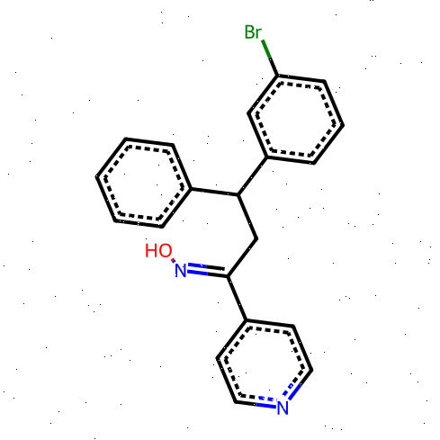 O/N=C(\CC(c1ccccc1)c1cccc(Br)c1)c1ccncc1